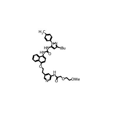 COCCOCC(=O)Nc1cncc(CCOc2ccc(NC(=O)Nc3cc(C(C)(C)C)nn3-c3ccc(C)cc3)c3ccccc23)c1